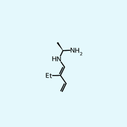 C=C/C(=C/N[C@@H](C)N)CC